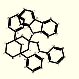 c1ccc(CCC2(n3c4ccccc4c4ccccc43)CC3(c4ccccc4)CCCC(c4ccccc4)(C3)C2)cc1